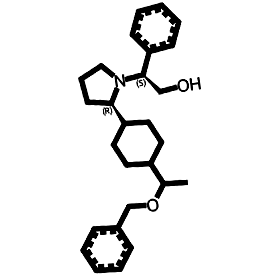 CC(OCc1ccccc1)C1CCC([C@H]2CCCN2[C@H](CO)c2ccccc2)CC1